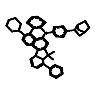 CC1(C)c2cc(N(c3ccc(C4CC5CCC4C5)cc3)c3ccccc3-c3ccccc3C3CCCCC3)ccc2C2C=CC=C(c3ccccc3)C21